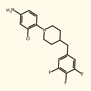 Nc1ccc(N2CCC(Cc3cc(F)c(F)c(F)c3)CC2)c(Cl)c1